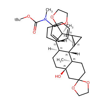 CN(C(=O)OC(C)(C)C)c1ccc([C@@]23C[C@@H]2[C@@]2(C)[C@@H](CCC24OCCO4)[C@@H]2CC[C@@]4(O)CC5(CC[C@]4(C)[C@H]23)OCCO5)cc1